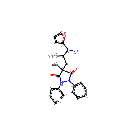 CCCCCC(CC1(CCCC)C(=O)N(c2ccccc2)N(c2ccccc2)C1=O)C(N)c1ccco1